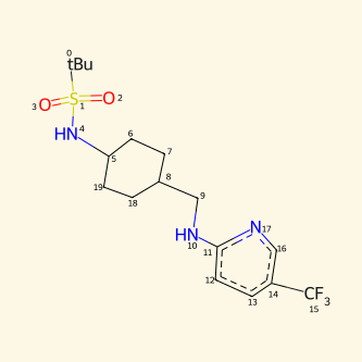 CC(C)(C)S(=O)(=O)NC1CCC(CNc2ccc(C(F)(F)F)cn2)CC1